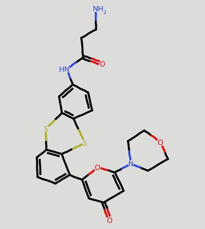 NCCC(=O)Nc1ccc2c(c1)Sc1cccc(-c3cc(=O)cc(N4CCOCC4)o3)c1S2